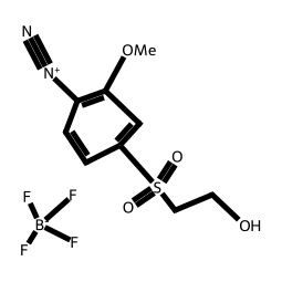 COc1cc(S(=O)(=O)CCO)ccc1[N+]#N.F[B-](F)(F)F